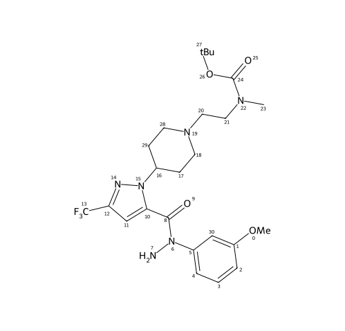 COc1cccc(N(N)C(=O)c2cc(C(F)(F)F)nn2C2CCN(CCN(C)C(=O)OC(C)(C)C)CC2)c1